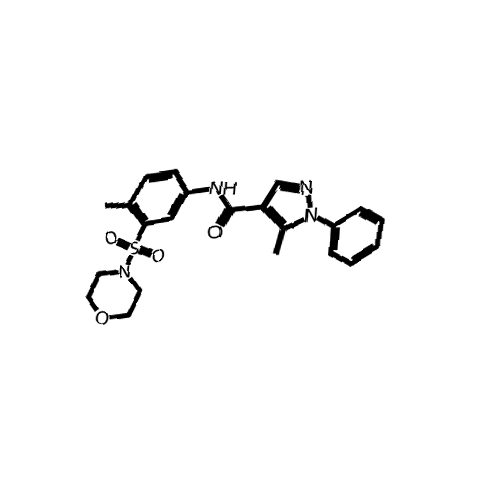 Cc1ccc(NC(=O)c2cnn(-c3ccccc3)c2C)cc1S(=O)(=O)N1CCOCC1